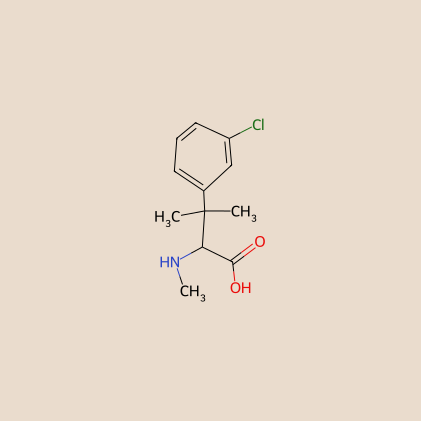 CNC(C(=O)O)C(C)(C)c1cccc(Cl)c1